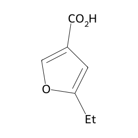 CCc1cc(C(=O)O)co1